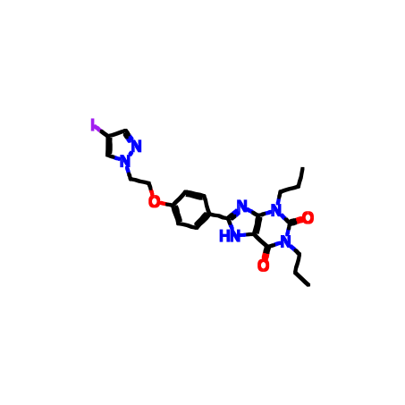 CCCn1c(=O)c2[nH]c(-c3ccc(OCCn4cc(I)cn4)cc3)nc2n(CCC)c1=O